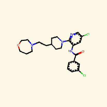 O=C(Nc1cc(Cl)cnc1N1CCC(CCN2CCCOCC2)CC1)c1cccc(Cl)c1